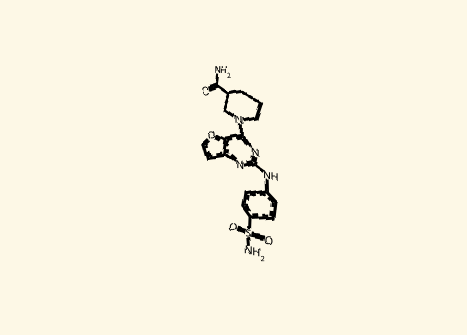 NC(=O)C1CCCN(c2nc(Nc3ccc(S(N)(=O)=O)cc3)nc3ccoc23)C1